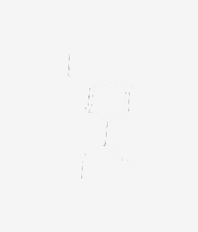 CCc1cccc(C(=O)OC)n1